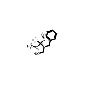 CCN(Cc1ccccc1)C(C)(OC)OC